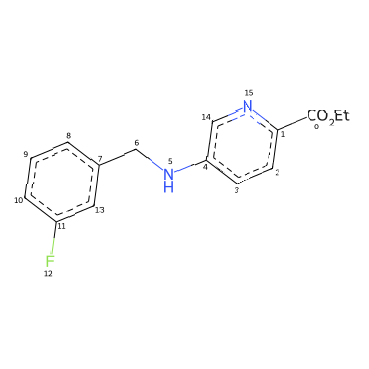 CCOC(=O)c1ccc(NCc2cccc(F)c2)cn1